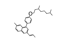 C/C=C/c1cc(-c2ccc(OCCC(C)CCCC(C)C)cc2)c2cc(C)ccc2c1